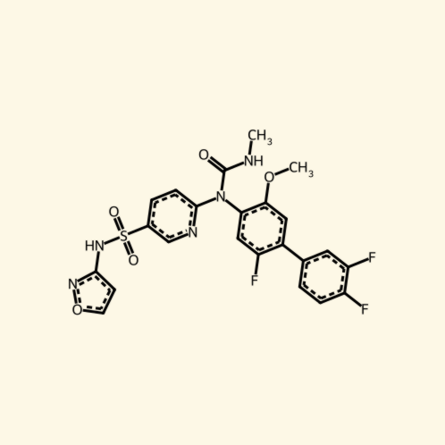 CNC(=O)N(c1ccc(S(=O)(=O)Nc2ccon2)cn1)c1cc(F)c(-c2ccc(F)c(F)c2)cc1OC